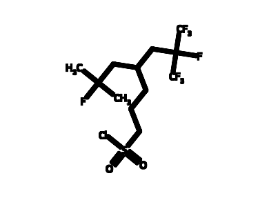 CC(C)(F)CC(CCCS(=O)(=O)Cl)CC(F)(C(F)(F)F)C(F)(F)F